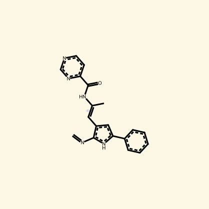 C=Nc1[nH]c(-c2ccccc2)cc1/C=C(\C)NC(=O)c1ccncn1